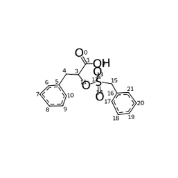 O=C(O)C(Cc1ccccc1)OS(=O)(=O)Cc1ccccc1